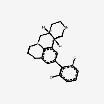 Clc1cccc(Cl)c1-c1cc2c3c(c1)[C@H]1CNCC[C@H]1CN3CCC2